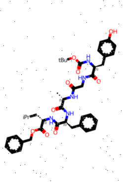 CC(C)C[C@H](NC(=O)[C@H](Cc1ccccc1)NC(=O)[C@H](C)NC(=O)CNC(=O)[C@H](Cc1ccc(O)cc1)NC(=O)OC(C)(C)C)C(=O)OCc1ccccc1